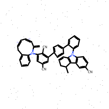 C=C1/C=C\C=C/Cc2ccccc2N1c1cc(C#N)cc(-c2ccc(-c3ccccc3-n3c4c(c5cc(C#N)ccc53)C(C)CC=C4)cc2)c1C#N